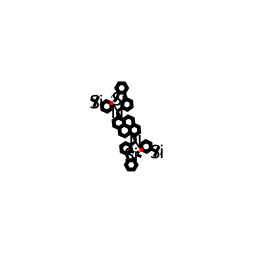 C[Si](C)(C)c1ccc(N(c2cccc3c2[Si](C)(C)c2ccccc2-3)c2ccc3ccc4c(N(c5ccc([Si](C)(C)C)cc5)c5cccc6c5[Si](C)(C)c5ccccc5-6)ccc5ccc2c3c54)cc1